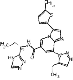 CCc1cnnn1-c1cc(C(=O)N[C@@H](CC)c2nnc[nH]2)cn2c(-c3ccc(C)s3)cnc12